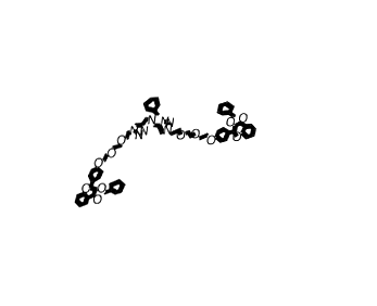 O=c1c(OCc2ccccc2)c(-c2ccc(OCCOCCOCCn3cc(CN(Cc4ccccc4)Cc4cn(CCOCCOCCOc5ccc(-c6oc7ccccc7c(=O)c6OCc6ccccc6)cc5)nn4)nn3)cc2)oc2ccccc12